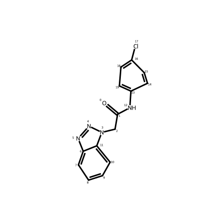 O=C(Cn1nnc2ccccc21)Nc1ccc(Cl)cc1